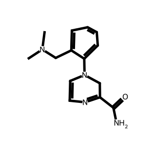 CN(C)Cc1ccccc1N1C=CN=C(C(N)=O)C1